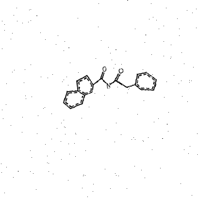 O=C(Cc1ccccc1)[N]C(=O)c1ccc2ccccc2c1